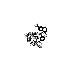 CC[C@H](C)CS(=O)(=NC(=O)c1ccc2c(c1)N(C[C@@H]1CC[C@H]1[C@H](C)OC)C[C@@]1(CCCc3cc(Cl)ccc31)CO2)NC(=O)[C@@H]1CCN(C(=O)OC)C1